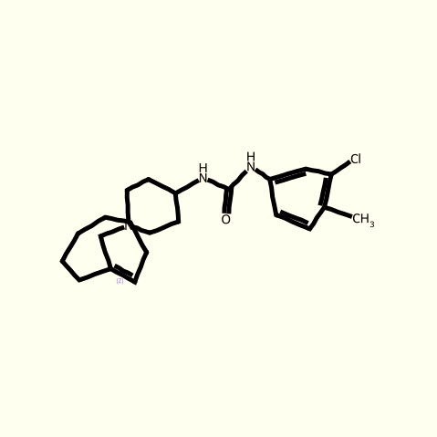 Cc1ccc(NC(=O)NC2CCN(C/C3=C\CCCCCC3)CC2)cc1Cl